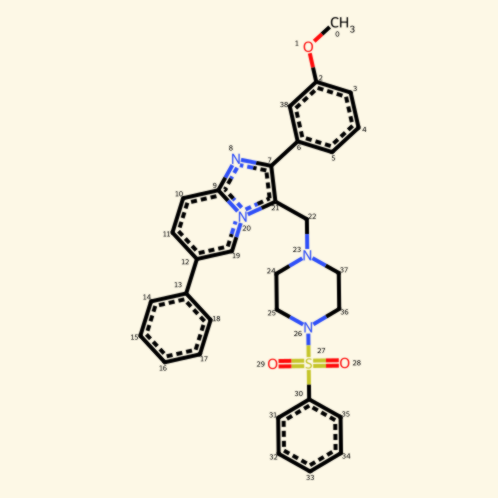 COc1cccc(-c2nc3ccc(-c4ccccc4)cn3c2CN2CCN(S(=O)(=O)c3ccccc3)CC2)c1